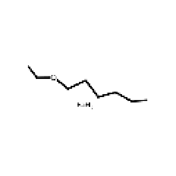 CCCCCCOCC.[BaH2]